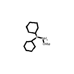 CO[SiH2]N(C1CCCCC1)C1CCCCC1